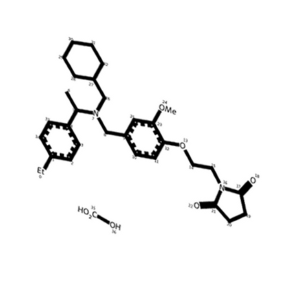 CCc1ccc(C(C)N(Cc2ccc(OCCN3C(=O)CCC3=O)c(OC)c2)CC2CCCCC2)cc1.O=C(O)O